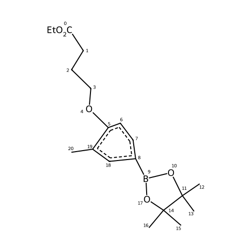 CCOC(=O)CCCOc1ccc(B2OC(C)(C)C(C)(C)O2)cc1C